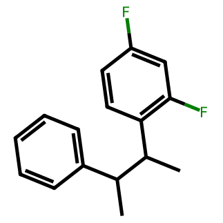 CC(c1ccccc1)C(C)c1ccc(F)cc1F